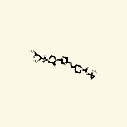 CC(CC(N)=O)S(=O)(=O)N1CCN(c2cnc(OCC3CCN(C(=O)OC4(C)CC4)CC3)cn2)C(=O)C1